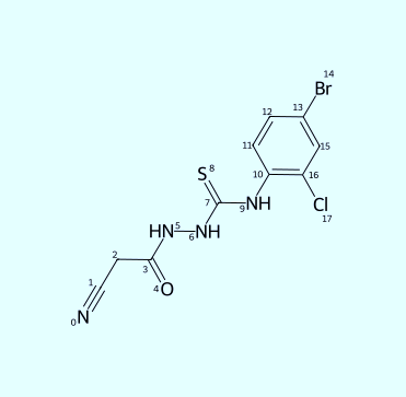 N#CCC(=O)NNC(=S)Nc1ccc(Br)cc1Cl